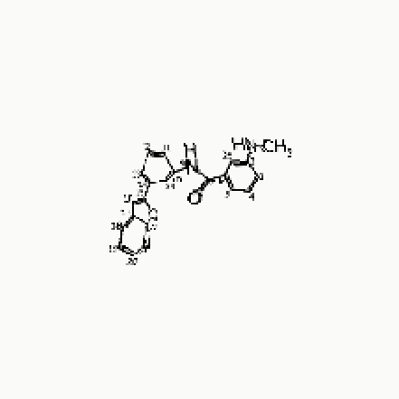 CNc1cccc(C(=O)Nc2cccc(-c3cc4cccnc4o3)c2)c1